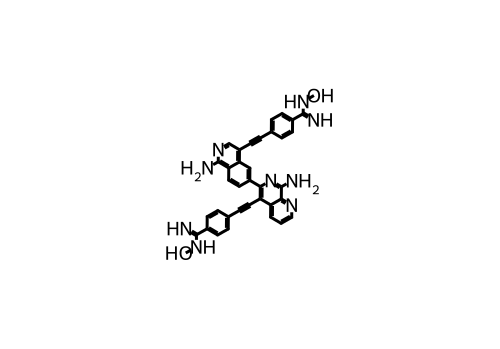 N=C(NO)c1ccc(C#Cc2cnc(N)c3ccc(-c4nc(N)c5ncccc5c4C#Cc4ccc(C(=N)NO)cc4)cc23)cc1